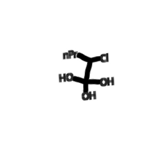 CCCC(Cl)C(O)(O)O